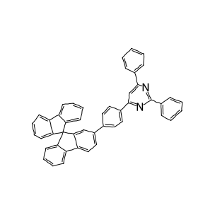 c1ccc(-c2cc(-c3ccc(-c4ccc5c(c4)C4(c6ccccc6-c6ccccc64)c4ccccc4-5)cc3)nc(-c3ccccc3)n2)cc1